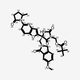 COc1ccc2c(c1)C(=O)N(C[C@@]1(c3cc4nc(N5C(=O)CCC5C)ccc4o3)NC(=O)N(COC(=O)C(C)(C)C)C1=O)C2